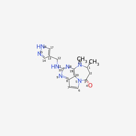 CC1CC(=O)n2ccc3nc(NCc4cn[nH]c4)nc(c32)N1C